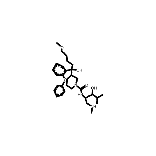 CNCC(NC(=O)N1CCCC(C(O)(CCCCOC)c2ccccc2Oc2ccccc2)C1)C(O)C(C)C